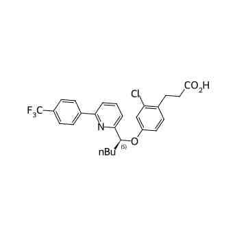 CCCC[C@H](Oc1ccc(CCC(=O)O)c(Cl)c1)c1cccc(-c2ccc(C(F)(F)F)cc2)n1